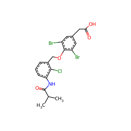 CC(C)C(=O)Nc1cccc(COc2c(Br)cc(CC(=O)O)cc2Br)c1Cl